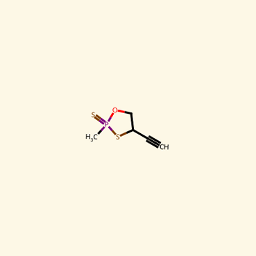 C#CC1COP(C)(=S)S1